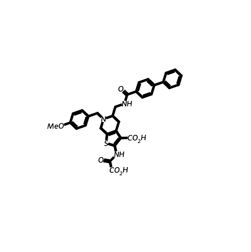 COc1ccc(CN2Cc3sc(NC(=O)C(=O)O)c(C(=O)O)c3CC2CNC(=O)c2ccc(-c3ccccc3)cc2)cc1